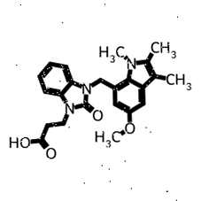 COc1cc(Cn2c(=O)n(CCC(=O)O)c3ccccc32)c2c(c1)c(C)c(C)n2C